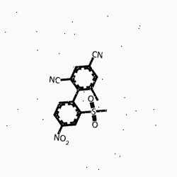 Cc1cc(C#N)[c]c(C#N)c1-c1ccc([N+](=O)[O-])cc1S(C)(=O)=O